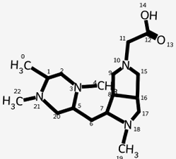 CC1CN(C)C(CC2C3CN(CC(=O)O)CC3CN2C)CN1C